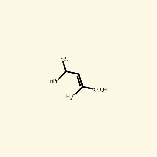 CCCCC(C=C(C)C(=O)O)CCC